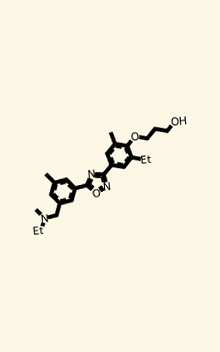 CCc1cc(-c2noc(-c3cc(C)cc(CN(C)CC)c3)n2)cc(C)c1OCCCO